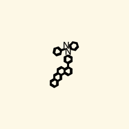 C1=Cc2c(nc(-c3ccccc3)n2-c2ccc(-c3cccc4c3ccc3cc5ccccc5cc34)cc2)CC1